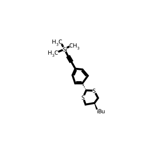 CCC(C)[C@H]1CS[C@H](c2ccc(C#C[Si](C)(C)C)cc2)SC1